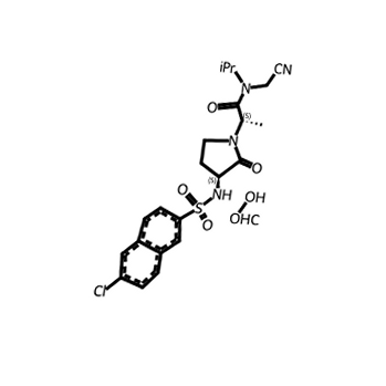 CC(C)N(CC#N)C(=O)[C@H](C)N1CC[C@H](NS(=O)(=O)c2ccc3cc(Cl)ccc3c2)C1=O.O=CO